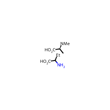 CCC(N)C(=O)O.CN[C@@H](C)C(=O)O